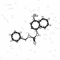 CCC(C)c1ccc(OC(=O)OCc2ccccc2)c2ccccc12